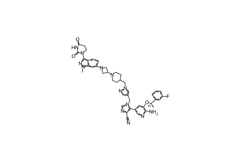 C[C@@H](Oc1cc(-c2c(C#N)ncn2Cc2cnn(CC3CCN(C4CN(c5ccc6c(N7CCC(=O)NC7=O)nn(C)c6c5)C4)CC3)c2)cnc1N)c1cccc(F)c1